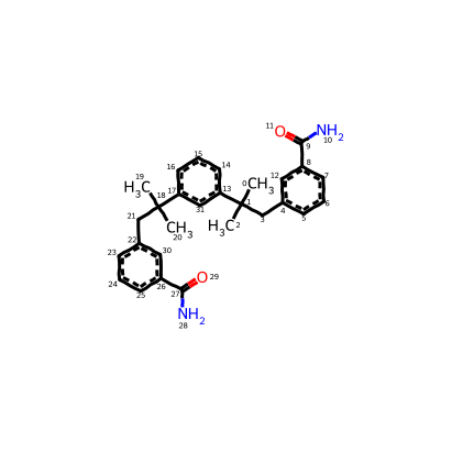 CC(C)(Cc1cccc(C(N)=O)c1)c1cccc(C(C)(C)Cc2cccc(C(N)=O)c2)c1